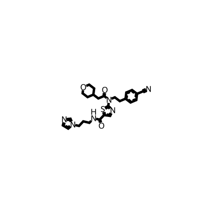 N#Cc1ccc(CCN(C(=O)CC2CCOCC2)c2ncc(C(=O)NCCCn3ccnc3)s2)cc1